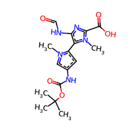 Cn1cc(NC(=O)OC(C)(C)C)cc1-c1c(NC=O)nc(C(=O)O)n1C